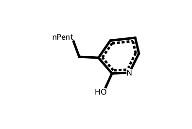 CCCCCCc1cccnc1O